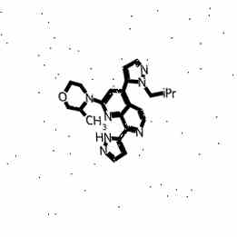 CC(C)Cn1nccc1-c1cc(N2CCOCC2C)nc2c(-c3ccn[nH]3)nccc12